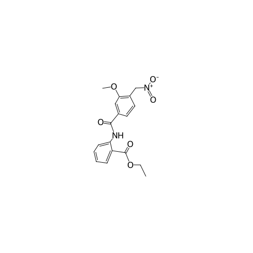 CCOC(=O)c1ccccc1NC(=O)c1ccc(C[N+](=O)[O-])c(OC)c1